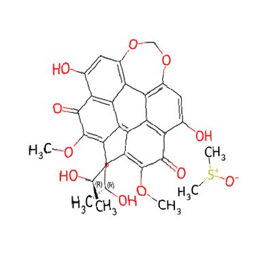 COc1c(C[C@@H](C)O)c2c3c(C[C@@H](C)O)c(OC)c(=O)c4c(O)cc5c(c6c(cc(O)c(c1=O)c62)OCO5)c43.C[S+](C)[O-]